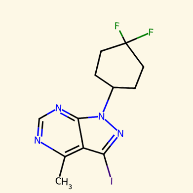 Cc1ncnc2c1c(I)nn2C1CCC(F)(F)CC1